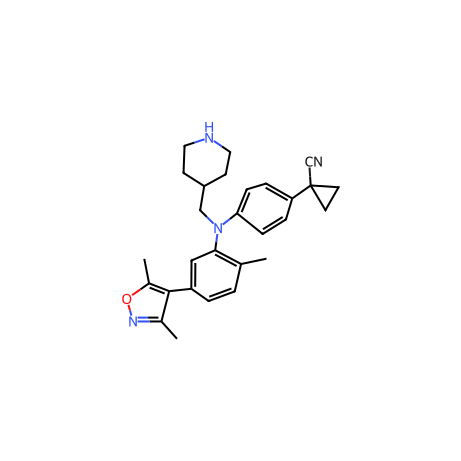 Cc1ccc(-c2c(C)noc2C)cc1N(CC1CCNCC1)c1ccc(C2(C#N)CC2)cc1